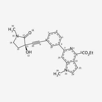 CCOC(=O)c1nc(-c2cccc(C#C[C@]3(O)CCN(C)C3=O)c2)cc2c1ccn2C